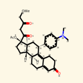 COCC(=O)CC(=O)[C@@]1(OC(C)=O)CC[C@H]2[C@@H]3CCC4=CC(=O)CCC4=C3[C@@H](c3ccc(N(C)C)cc3)C[C@@]21C